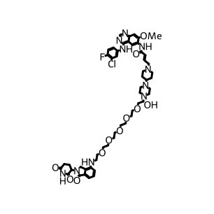 COc1cc2ncnc(Nc3ccc(F)c(Cl)c3)c2cc1NC(=O)/C=C/CN1CCC(N2CCN(C(O)COCCOCCOCCOCCOCCNc3cccc4c3CN(C3CCC(=O)NC3=O)C4=O)CC2)CC1